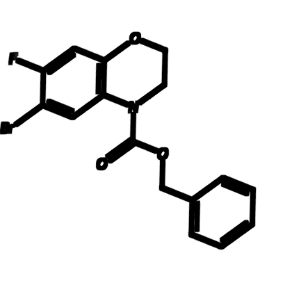 O=C(OCc1ccccc1)N1CCOc2cc(F)c(Br)cc21